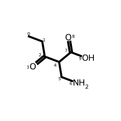 CCC(=O)C(CN)C(=O)O